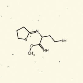 COC(=N)C(CCS)N=C1CCCS1